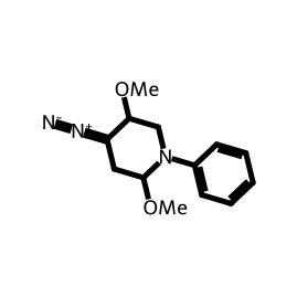 COC1CN(c2ccccc2)C(OC)CC1=[N+]=[N-]